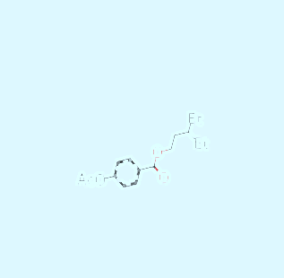 CCC(CC)CCOC(=O)c1ccc(OC(C)=O)cc1